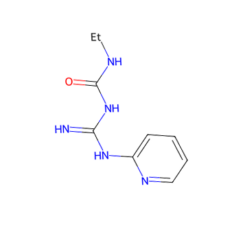 CCNC(=O)NC(=N)Nc1ccccn1